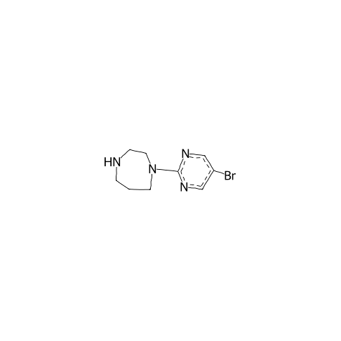 Brc1cnc(N2CCCNCC2)nc1